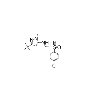 Cn1nc(C(C)(C)C)cc1NCC(C)(C)[SH](C)(=O)c1ccc(Cl)cc1